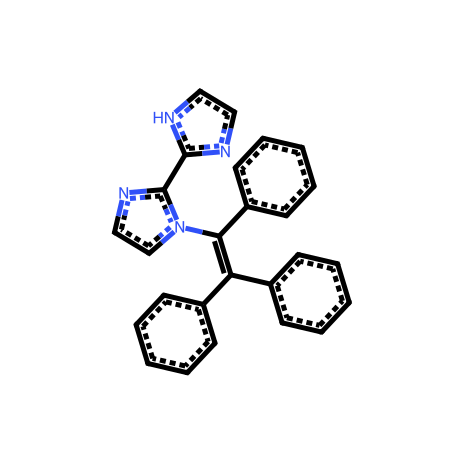 c1ccc(C(=C(c2ccccc2)n2ccnc2-c2ncc[nH]2)c2ccccc2)cc1